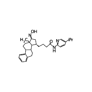 CC(C)c1ccc(NC(=O)CCC[C@@H]2C/C(=N\O)[C@@]3(C)CCC4c5ccccc5CCC4C23)nc1